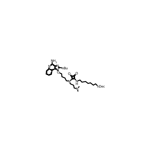 CCCCCCCCCCCCCCCCCNc1c(N(CCCCOn2c(CCCC)nc3c(N)nc4ccccc4c32)CCCN(C)C)c(=O)c1=O